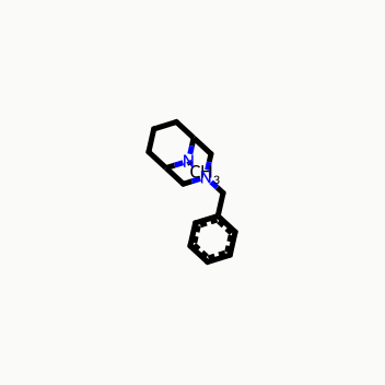 CN1C2CCCC1CN(Cc1ccccc1)C2